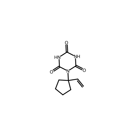 C=CC1(n2c(=O)[nH]c(=O)[nH]c2=O)CCCC1